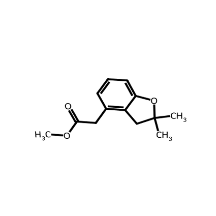 COC(=O)Cc1cccc2c1CC(C)(C)O2